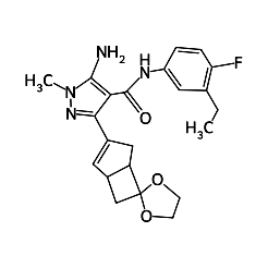 CCc1cc(NC(=O)c2c(C3=CC4CC5(OCCO5)C4C3)nn(C)c2N)ccc1F